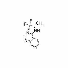 C[C@H](Nc1ncnc2cnccc12)C(F)(F)F